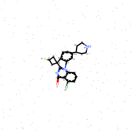 O=c1nc2n(c3cccc(Cl)c13)-c1cc(C3CCNCC3)ccc1C21CC(F)C1